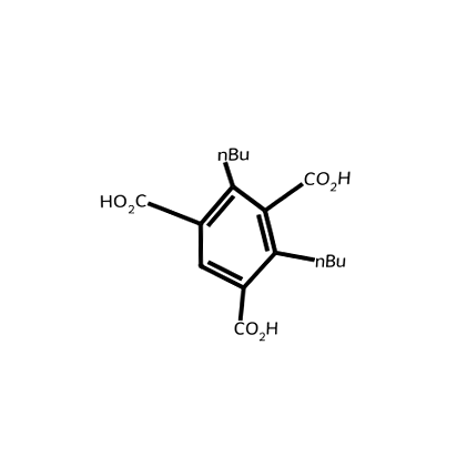 CCCCc1c(C(=O)O)cc(C(=O)O)c(CCCC)c1C(=O)O